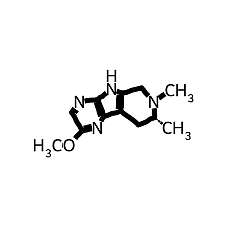 COc1cnc2[nH]c3c(c2n1)C[C@@H](C)N(C)C3